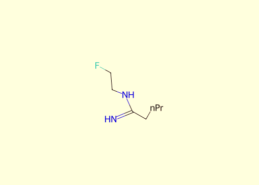 CCCCC(=N)NCCF